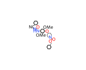 COc1cc(N/C(=N/C#N)Oc2ccccc2)cc(OC)c1OC1CCN(C(=O)OCc2ccccc2)CC1